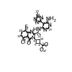 COC(=O)C1CC(n2c([C@H](C)Nc3ncnc(N)c3-c3nnn(C)n3)nc3c(F)ccc(Cl)c3c2=O)C1